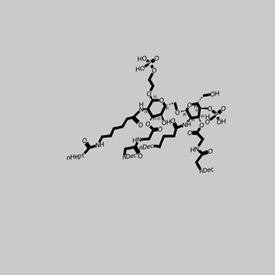 CCCCCCCCCCCCCC(=O)N[C@H]1[C@H](OC[C@H]2O[C@H](OCCOP(=O)(O)O)[C@H](NC(=O)CCCCCNC(=O)CCCCCCC)[C@@H](OC(=O)CNC(=O)CCCCCCCCCCC)[C@@H]2O)O[C@H](CO)[C@@H](OP(=O)(O)O)[C@@H]1OC(=O)CNC(=O)CCCCCCCCCCC